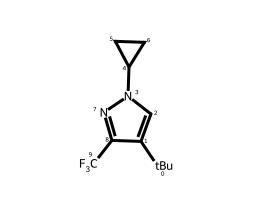 CC(C)(C)c1cn(C2CC2)nc1C(F)(F)F